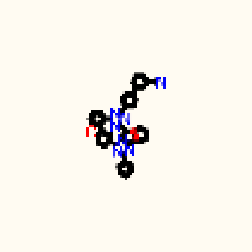 N#Cc1cccc(-c2ccc(-c3nc(-c4ccccc4)nc(-c4cccc5oc6ccc(-c7nc(-c8ccccc8)nc(-c8ccccc8)n7)cc6c45)n3)cc2)c1